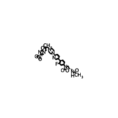 CC(=O)NC[C@H]1CN(c2ccc(-c3ccc(N4CCN(CC5(C)Cn6cc([N+](=O)[O-])nc6O5)CC4)nc3)c(F)c2)C(=O)O1